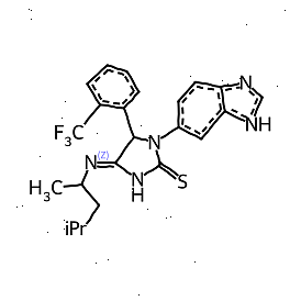 CC(C)CC(C)/N=C1\NC(=S)N(c2ccc3nc[nH]c3c2)C1c1ccccc1C(F)(F)F